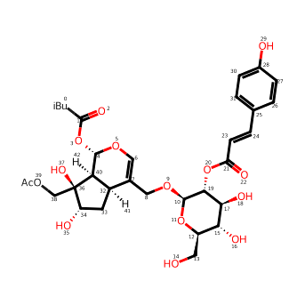 CCC(C)C(=O)O[C@@H]1OC=C(CO[C@@H]2O[C@H](CO)[C@@H](O)[C@H](O)[C@H]2OC(=O)/C=C/c2ccc(O)cc2)[C@H]2C[C@H](O)[C@](O)(COC(C)=O)[C@@H]12